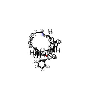 CC(C)[C@H]1NC(=O)C[C@H]2/C=C/CCSSC[C@@H](NC1=O)C(=O)N[C@@H](Cc1ccccc1)C(=O)NCC(=O)O2